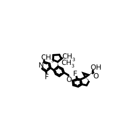 Cc1cc(-c2ccc(COc3ccc4c(c3F)[C@@]3(CC4)C[C@@H]3C(=O)O)cc2[C@@H]2CCCC2(C)C)c(F)cn1